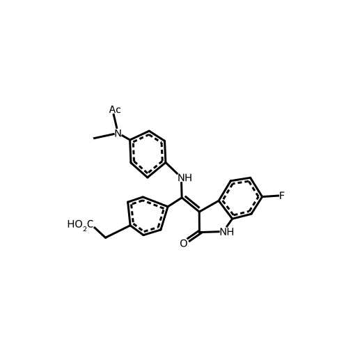 CC(=O)N(C)c1ccc(NC(=C2C(=O)Nc3cc(F)ccc32)c2ccc(CC(=O)O)cc2)cc1